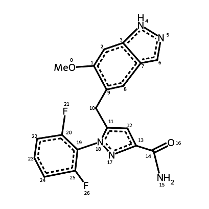 COc1cc2[nH]ncc2cc1Cc1cc(C(N)=O)nn1-c1c(F)cccc1F